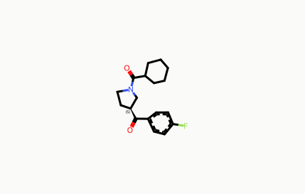 O=C(c1ccc(F)cc1)[C@H]1CCN(C(=O)C2CCCCC2)C1